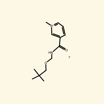 C[n+]1cccc(C(=O)NCOCC(C)(C)C)c1.[I-]